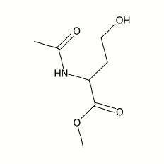 COC(=O)C(CCO)NC(C)=O